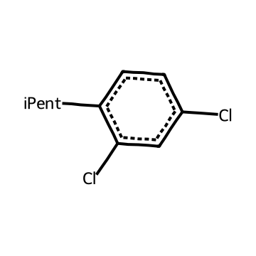 [CH2]C(CCC)c1ccc(Cl)cc1Cl